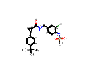 CC(C)(C)c1ccc(C2CC2C(=O)NCc2ccc(NS(C)(=O)=O)c(F)c2)cc1